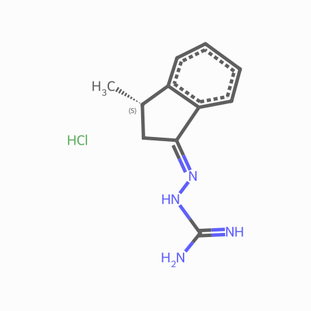 C[C@H]1CC(=NNC(=N)N)c2ccccc21.Cl